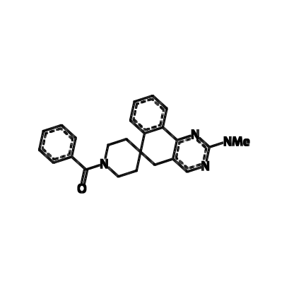 CNc1ncc2c(n1)-c1ccccc1C1(CCN(C(=O)c3ccccc3)CC1)C2